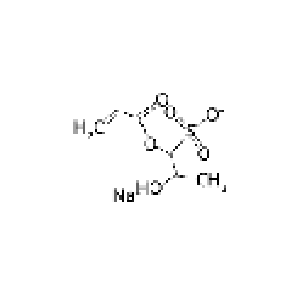 C=CC(=O)OC(C(C)O)S(=O)(=O)[O-].[Na+]